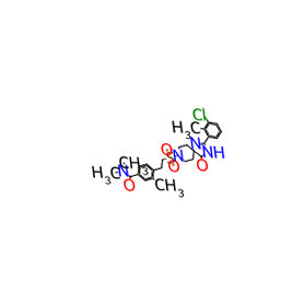 Cc1cc(C(=O)N(C)C)ccc1CCS(=O)(=O)N1CCC2(CC1)N=C(c1cccc(Cl)c1C)NC2=O